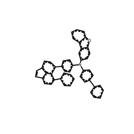 C1=Cc2ccc(-c3ccc(N(c4ccc(-c5ccccc5)cc4)c4ccc5oc6ccccc6c5c4)cc3)c3c(-c4ccccc4)ccc1c23